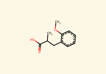 COc1ccccc1CC(C)C(=O)O